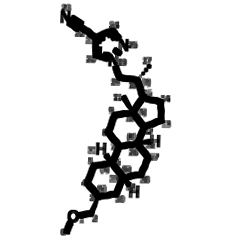 COC[C@H]1CC[C@@H]2C3CC[C@@]4(C)C(CCC4[C@@H](C)Cn4cc(C#N)cn4)[C@@H]3CC[C@@H]2C1